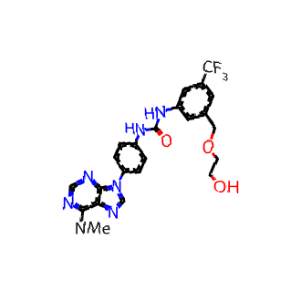 CNc1ncnc2c1ncn2-c1ccc(NC(=O)Nc2cc(COCCO)cc(C(F)(F)F)c2)cc1